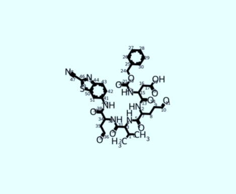 CC(C)C(NC(=O)C(CCC=O)NC(=O)C(CC(=O)O)NC(=O)OCc1ccccc1)C(=O)NC(CC=O)C(=O)Nc1ccc2nc(C#N)sc2c1